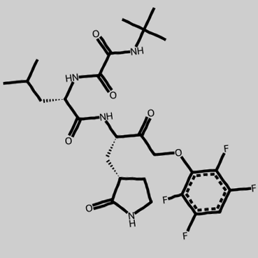 CC(C)C[C@H](NC(=O)C(=O)NC(C)(C)C)C(=O)N[C@@H](C[C@@H]1CCNC1=O)C(=O)COc1c(F)c(F)cc(F)c1F